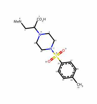 CNCC(C(=O)O)N1CCN(S(=O)(=O)c2ccc(C)cc2)CC1